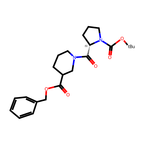 CC(C)(C)OC(=O)N1CCC[C@H]1C(=O)N1CCCC(C(=O)OCc2ccccc2)C1